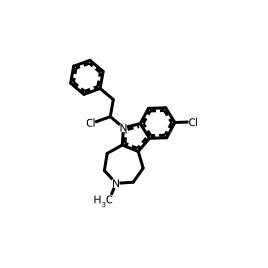 CN1CCc2c(n(C(Cl)Cc3ccccc3)c3ccc(Cl)cc23)CC1